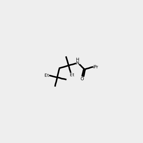 CCC(C)(C)CC(C)(CC)NC(=O)C(C)C